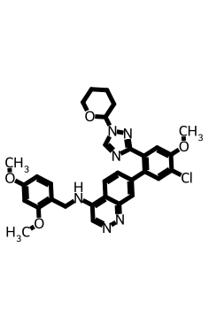 COc1ccc(CNc2cnnc3cc(-c4cc(Cl)c(OC)cc4-c4ncn(C5CCCCO5)n4)ccc23)c(OC)c1